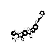 CN(Cc1cccs1)C(=O)c1cc(C(=O)N2Cc3ccc(OCCCN4CCCC4)cc3C2)c(O)cc1O